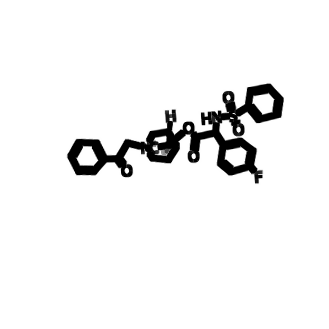 O=C(C[N+]12CCC(CC1)[C@@H](OC(=O)C(NS(=O)(=O)c1ccccc1)c1ccc(F)cc1)C2)c1ccccc1